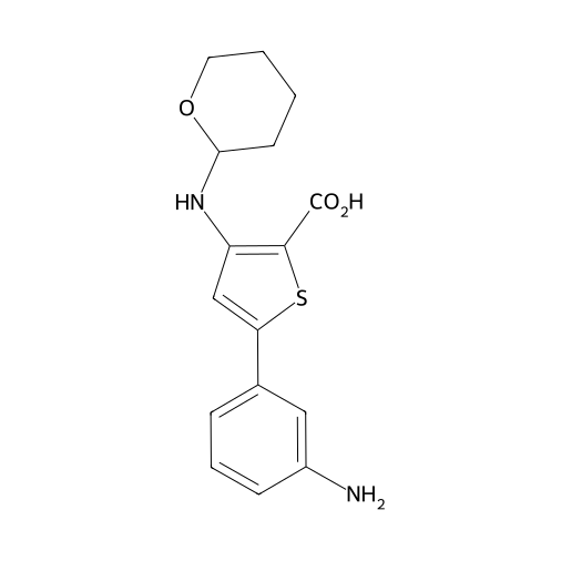 Nc1cccc(-c2cc(NC3CCCCO3)c(C(=O)O)s2)c1